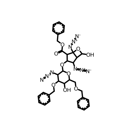 [N-]=[N+]=NC1C(OC2C(N=[N+]=[N-])C3C(O)OC3(N=[N+]=[N-])C2C(=O)OCc2ccccc2)OC(COCc2ccccc2)C(O)C1OCc1ccccc1